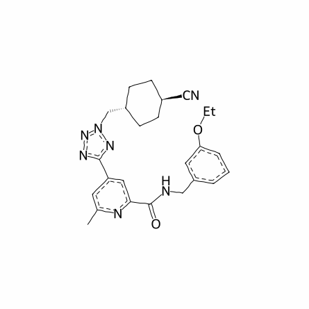 CCOc1cccc(CNC(=O)c2cc(-c3nnn(C[C@H]4CC[C@H](C#N)CC4)n3)cc(C)n2)c1